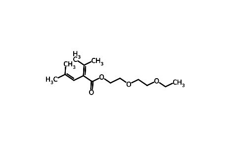 CCOCCOCCOC(=O)C(C=C(C)C)=C(C)C